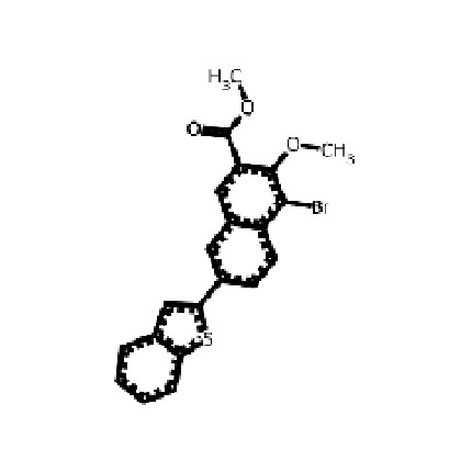 COC(=O)c1cc2cc(-c3cc4ccccc4s3)ccc2c(Br)c1OC